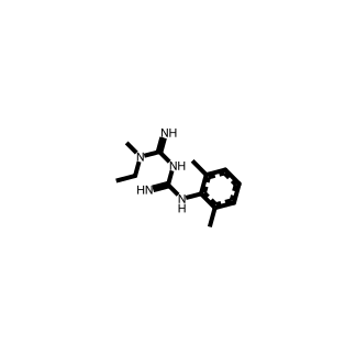 CCN(C)C(=N)NC(=N)Nc1c(C)cccc1C